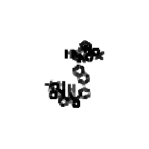 CC(C)(C)OC(=O)N[C@@H]1CCC[C@H]1NC(=O)c1cccc(-c2ccc3cc(-c4c[nH]c([C@@H]5CCCN5C(=O)OC(C)(C)C)n4)ccc3c2)c1